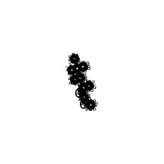 c1ccc(-c2c3ccccc3c(-c3ccc(-c4cc5oc6cc7oc8ccccc8c7cc6c5c5ccccc45)c4ccccc34)c3ccccc23)cc1